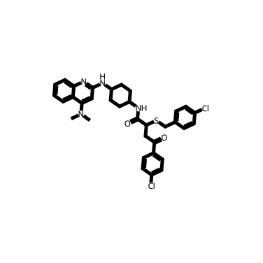 CN(C)c1cc(NC2CCC(NC(=O)C(CC(=O)c3ccc(Cl)cc3)SCc3ccc(Cl)cc3)CC2)nc2ccccc12